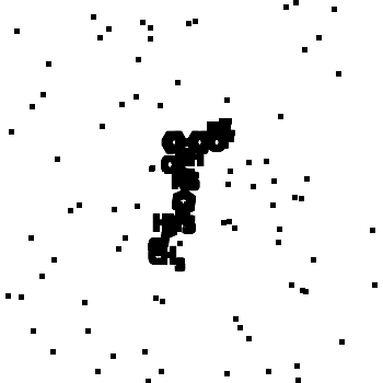 COCCCNC(=S)N1CCC(c2nc(C(=O)Nc3ccccc3-c3ccc(OC(F)(F)F)cc3)cs2)CC1